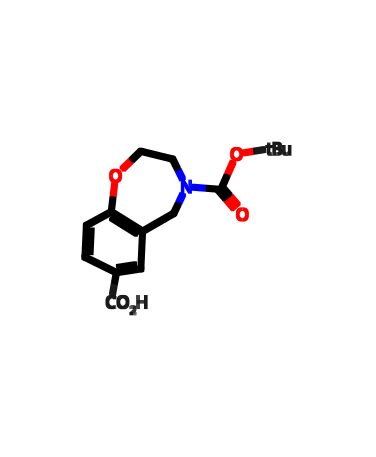 CC(C)(C)OC(=O)N1CCOc2ccc(C(=O)O)cc2C1